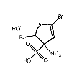 Cl.NC1(S(=O)(=O)O)C=C(Br)SC1Br